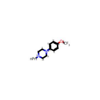 [CH2]CCN1CCN(c2ccc(OC(F)(F)F)cc2)CC1